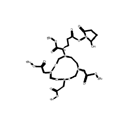 CC(C)(C)OC(=O)CN1CCN(CC(=O)OC(C)(C)C)CCN([C@H](CCC(=O)ON2C(=O)CCC2O)C(=O)OC(C)(C)C)CCN(CC(=O)OC(C)(C)C)CC1